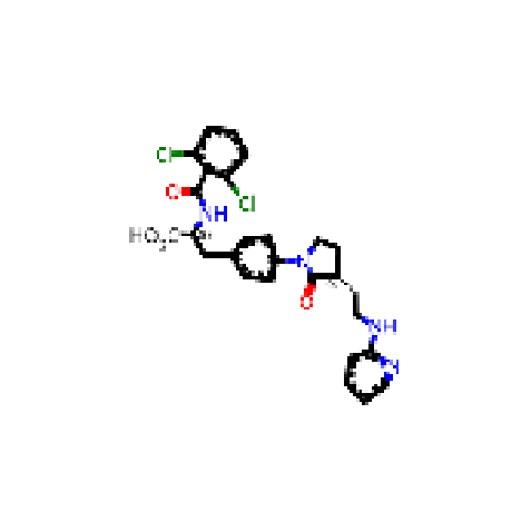 O=C(N[C@@H](Cc1ccc(N2CC[C@H](CCNc3ccccn3)C2=O)cc1)C(=O)O)c1c(Cl)cccc1Cl